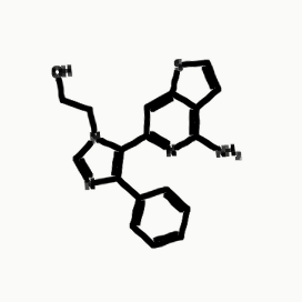 Nc1nc(-c2c(-c3ccccc3)ncn2CCO)cc2sccc12